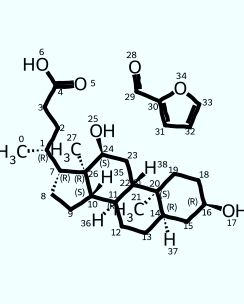 C[C@H](CCC(=O)O)[C@H]1CC[C@H]2[C@@H]3CC[C@@H]4C[C@H](O)CC[C@]4(C)[C@H]3C[C@H](O)[C@]12C.O=Cc1ccco1